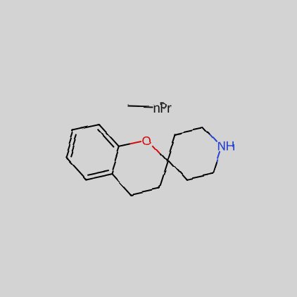 CCCC.c1ccc2c(c1)CCC1(CCNCC1)O2